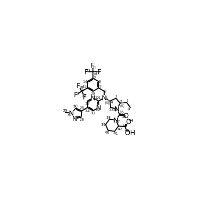 CC[C@@H]1C[C@H](N(Cc2cc(C(F)(F)F)cc(C(F)(F)F)c2)c2ncc(-c3cnn(C)c3)cn2)CN1C(=O)N1CCCCC1C(=O)O